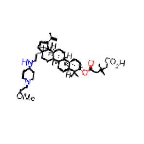 C=C(C)[C@@H]1CC[C@]2(CCNC3CCN(CCOC)CC3)CC[C@]3(C)[C@H](CC[C@@H]4[C@@]5(C)CC[C@H](OC(=O)CC(C)(C)CC(=O)O)C(C)(C)[C@@H]5CC[C@]43C)[C@@H]12